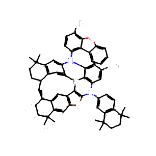 CC(C)(C)c1cc2c3c(c1)N(c1ccc(C(C)(C)C)c4oc5ccccc5c14)c1cc4c5cc1B3c1c(sc3cc6c(cc13)C(C)(CCC6(C)C)CC5CCC4(C)C)N2c1ccc2c(c1)C(C)(C)CCC2(C)C